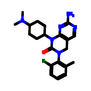 Cc1cccc(F)c1N1Cc2cnc(N)nc2N(C2CCC(N(C)C)CC2)C1=O